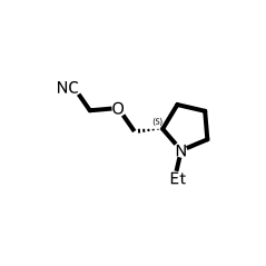 CCN1CCC[C@H]1COCC#N